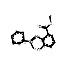 COC(=O)c1cccc(Cl)c1N=S(C)c1ccccc1